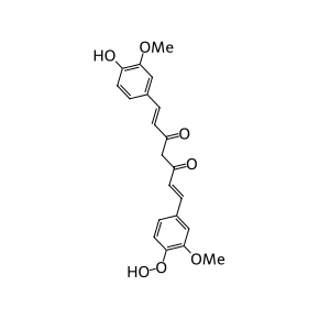 COc1cc(/C=C/C(=O)CC(=O)/C=C/c2ccc(OO)c(OC)c2)ccc1O